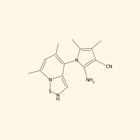 CC1=CC(C)=C(n2c(C)c(C)c(C#N)c2N)C2=CNSN12